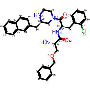 N[C@@H](COCc1ccccc1)C(=O)N[C@H](Cc1ccccc1Cl)C(=O)N1CCN[C@H](Cc2ccc3ccccc3c2)C1